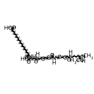 CNC[C@@H](CCCCNC(=O)COCCOCCNC(=O)COCCOCCNC(=O)CC[C@H](NC(=O)CCCCCCCCCCCCCCCCC(=O)O)C(=O)O)C(C)=O